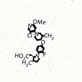 COc1cc(N2CCC(Oc3ccc(N4CC[C@@H](C)[C@H]4CC(=O)O)c(F)c3)C(C)C2)c(Cl)cn1